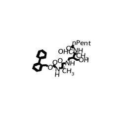 CCCCCC(=O)N[C@@](C)([C]=O)C(CO)CNC(=O)[C@H](C)NC(=O)OCc1ccccc1-c1ccccc1